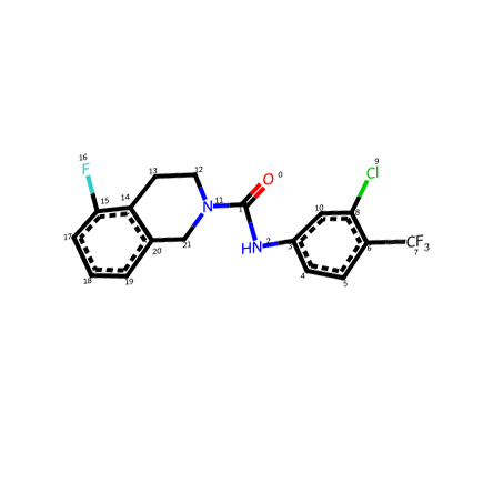 O=C(Nc1ccc(C(F)(F)F)c(Cl)c1)N1CCc2c(F)cccc2C1